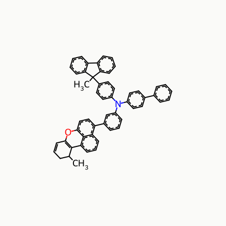 CC1CC=CC2=C1c1cccc3c(-c4cccc(N(c5ccc(-c6ccccc6)cc5)c5ccc(C6(C)c7ccccc7-c7ccccc76)cc5)c4)ccc(c13)O2